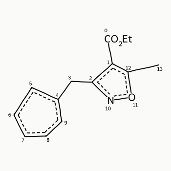 CCOC(=O)c1c(Cc2ccccc2)noc1C